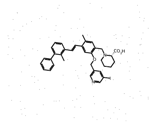 Cc1cc(CN2CCCC[C@H]2C(=O)O)c(OCc2cncc(I)c2)cc1/C=C/c1cccc(-c2ccccc2)c1C